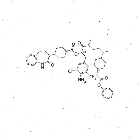 CC(CCN(C)C(=O)[C@@H](Cc1cc(Cl)c(N)c(C(F)(F)F)c1)OC(=O)N1CCC(N2CCc3ccccc3NC2=O)CC1)C1CCN(CC(=O)Oc2ccccc2)CC1